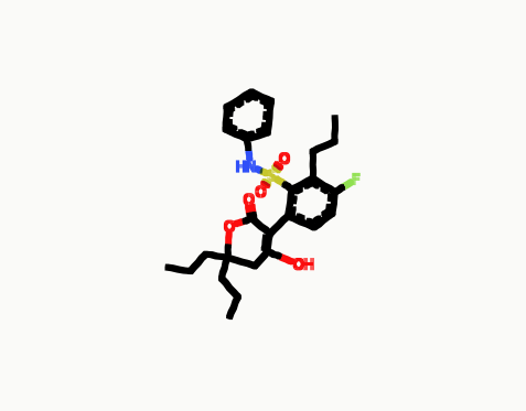 CCCc1c(F)ccc(C2=C(O)CC(CCC)(CCC)OC2=O)c1S(=O)(=O)Nc1ccccc1